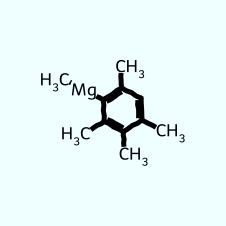 [CH3][Mg][c]1c(C)cc(C)c(C)c1C